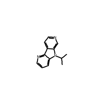 CC(C)n1c2cnccc2c2ncccc21